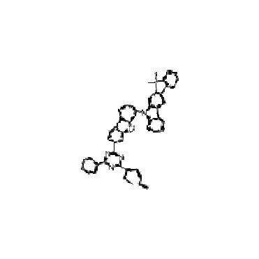 C=C/C=C\C(=C/C)c1nc(-c2ccccc2)nc(-c2ccc3c(c2)oc2c(-n4c5ccccc5c5cc6c(cc54)C(C)(C)c4ccccc4-6)cccc23)n1